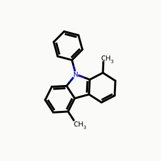 Cc1cccc2c1c1c(n2-c2ccccc2)C(C)CC=C1